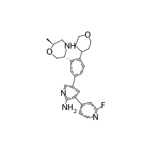 C[C@H]1CN[C@H](c2cc(-c3cnc(N)c(-c4ccnc(F)c4)c3)ccc2C2CCOCC2)CO1